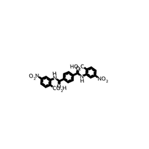 O=C(Nc1cc([N+](=O)[O-])ccc1C(=O)O)c1ccc(C(=O)Nc2cc([N+](=O)[O-])ccc2C(=O)O)cc1